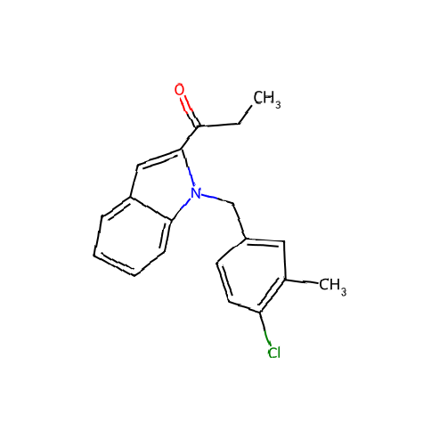 CCC(=O)c1cc2ccccc2n1Cc1ccc(Cl)c(C)c1